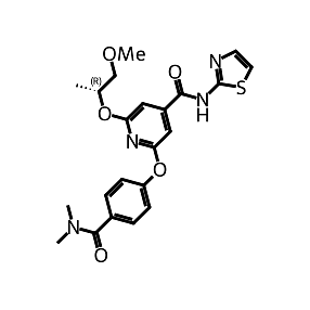 COC[C@@H](C)Oc1cc(C(=O)Nc2nccs2)cc(Oc2ccc(C(=O)N(C)C)cc2)n1